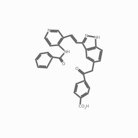 O=C(O)c1ccc(C(=O)Cc2ccc3[nH]nc(/C=C/c4cnccc4NC(=O)c4ccccc4)c3c2)cc1